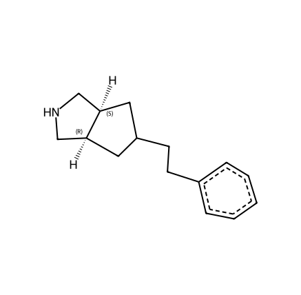 c1ccc(CCC2C[C@H]3CNC[C@H]3C2)cc1